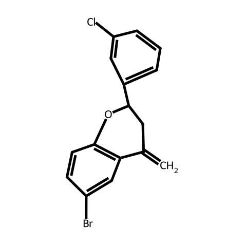 C=C1CC(c2cccc(Cl)c2)Oc2ccc(Br)cc21